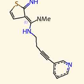 CN/C(NCCC#Cc1cccnc1)=C1/C=CSC1=N